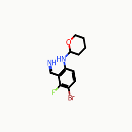 N=Cc1c(NC2CCCCO2)ccc(Br)c1F